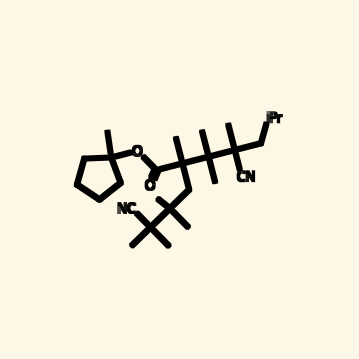 CC(C)CC(C)(C#N)C(C)(C)C(C)(CC(C)(C)C(C)(C)C#N)C(=O)OC1(C)CCCC1